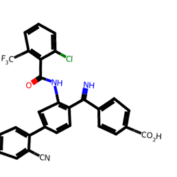 N#Cc1ccccc1-c1ccc(C(=N)c2ccc(C(=O)O)cc2)c(NC(=O)c2c(Cl)cccc2C(F)(F)F)c1